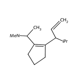 C=CC(C1=C(C(C)NC)CCC1)C(C)C